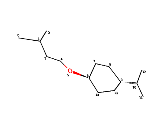 CC(C)CCO[C@H]1CC[C@H](C(C)C)CC1